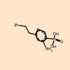 CC(C)CCc1ccc(P(=O)(O)O)c(N)c1